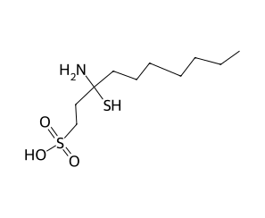 CCCCCCCC(N)(S)CCS(=O)(=O)O